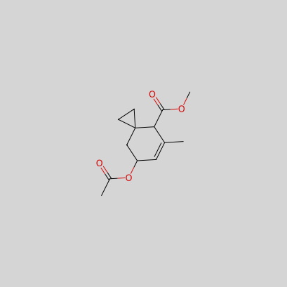 COC(=O)C1C(C)=CC(OC(C)=O)CC12CC2